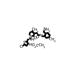 CC(=O)O.CC1=C(CC(=O)NCc2cc(C)ccc2CN)C(=O)N(NCc2ccc(Cl)s2)CC1